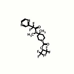 CN(C(=O)C(F)(F)c1cnccn1)C1(C)CCN(C(=O)OC(C(F)(F)F)C(F)(F)F)CC1